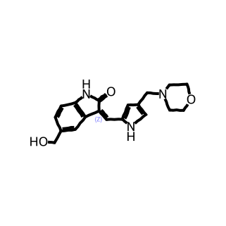 O=C1Nc2ccc(CO)cc2/C1=C/c1cc(CN2CCOCC2)c[nH]1